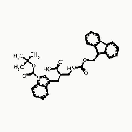 CC(C)(C)OC(=O)n1cc(C[C@H](CNC(=O)OCC2c3ccccc3-c3ccccc32)C(=O)O)c2ccccc21